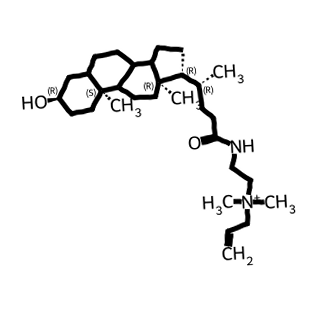 C=CC[N+](C)(C)CCNC(=O)CC[C@@H](C)[C@H]1CCC2C3CCC4C[C@H](O)CC[C@]4(C)C3CC[C@@]21C